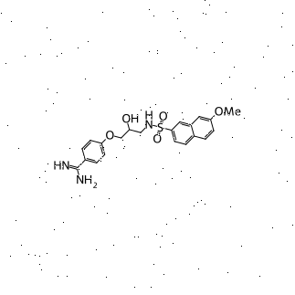 COc1ccc2ccc(S(=O)(=O)NCC(O)COc3ccc(C(=N)N)cc3)cc2c1